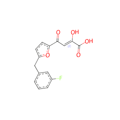 O=C(O)/C(O)=C/C(=O)c1ccc(Cc2cccc(F)c2)o1